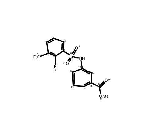 CCc1c(C(F)(F)F)cccc1S(=O)(=O)Nc1cccc(C(=O)OC)c1